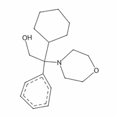 OCC(c1ccccc1)(C1CCCCC1)N1CCOCC1